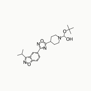 CC(C)c1noc2ccc(-c3noc(C4CCN(C(O)OC(C)(C)C)CC4)n3)cc12